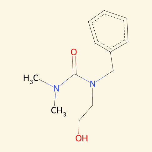 CN(C)C(=O)N(CCO)Cc1ccccc1